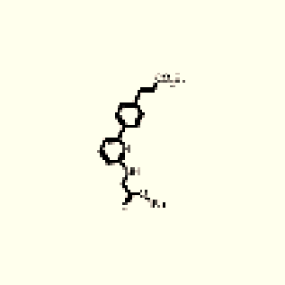 CCOC(=O)C=Cc1ccc(-c2cccc(NCC(=O)OC(C)(C)C)n2)cc1